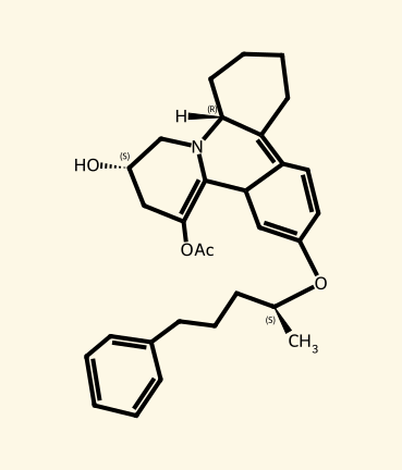 CC(=O)OC1=C2C3C=C(O[C@@H](C)CCCc4ccccc4)C=CC3=C3CCCC[C@H]3N2C[C@@H](O)C1